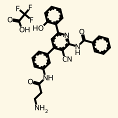 N#Cc1c(-c2cccc(NC(=O)CCN)c2)cc(-c2ccccc2O)nc1NC(=O)c1ccccc1.O=C(O)C(F)(F)F